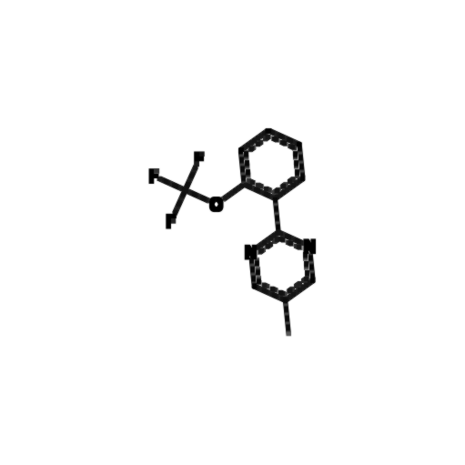 Cc1cnc(-c2ccccc2OC(F)(F)F)nc1